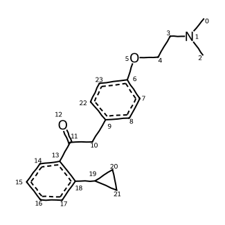 CN(C)CCOc1ccc(CC(=O)c2ccccc2C2CC2)cc1